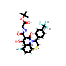 CC(C)(C)OC(=O)CNC(=O)c1c(O)c2c(F)ccc3c2n(c1=O)C(c1ccc(C(F)(F)F)cc1)CS3